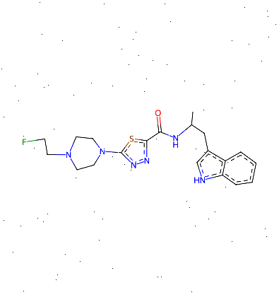 CC(Cc1c[nH]c2ccccc12)NC(=O)c1nnc(N2CCN(CCF)CC2)s1